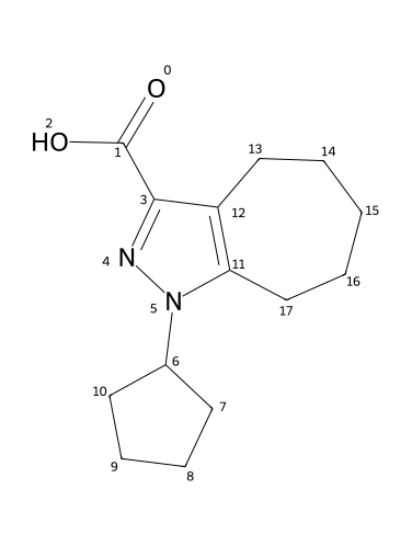 O=C(O)c1nn(C2CCCC2)c2c1CCCCC2